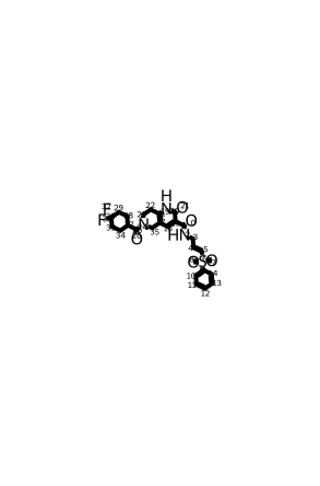 O=C(NC/C=C/S(=O)(=O)c1ccccc1)c1cc2c([nH]c1=O)CCN(C(=O)C1CCC(F)(F)CC1)C2